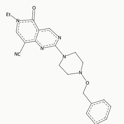 CCn1cc(C#N)c2nc(N3CCN(OCc4ccccc4)CC3)ncc2c1=O